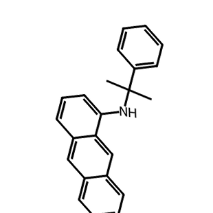 CC(C)(Nc1cccc2cc3ccccc3cc12)c1ccccc1